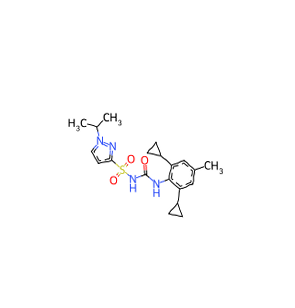 Cc1cc(C2CC2)c(NC(=O)NS(=O)(=O)c2ccn(C(C)C)n2)c(C2CC2)c1